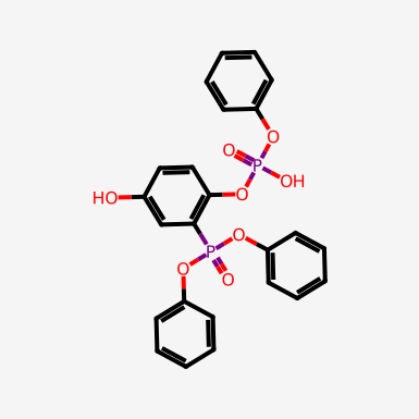 O=P(O)(Oc1ccccc1)Oc1ccc(O)cc1P(=O)(Oc1ccccc1)Oc1ccccc1